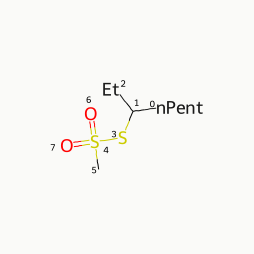 CCCCCC(CC)SS(C)(=O)=O